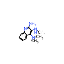 CNc1c(N)nc2ccccc2c1N(C)C